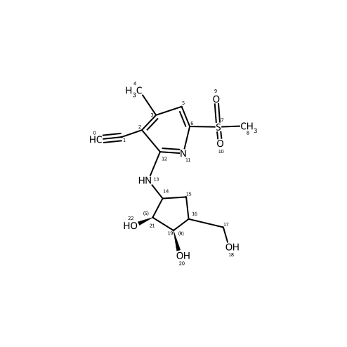 C#Cc1c(C)cc(S(C)(=O)=O)nc1NC1CC(CO)[C@@H](O)[C@H]1O